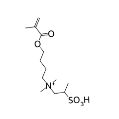 C=C(C)C(=O)OCCCC[N+](C)(C)CC(C)S(=O)(=O)O